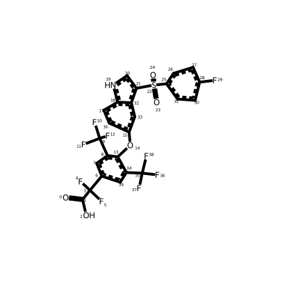 O=C(O)C(F)(F)c1cc(C(F)(F)F)c(Oc2ccc3[nH]cc(S(=O)(=O)c4ccc(F)cc4)c3c2)c(C(F)(F)F)c1